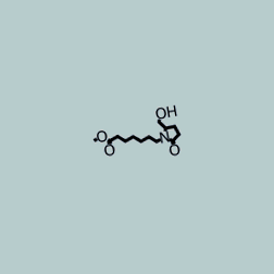 COC(=O)CCCCCCN1C(=O)CCC1CO